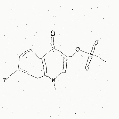 Cn1cc(OS(C)(=O)=O)c(=O)c2ccc(F)cc21